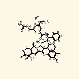 CC[C@@]1(O)C(=O)OCc2c1cc1n(c2=O)Cc2c-1nc1cc(F)c(C)c3c1c2[C@@H](N(C(=O)O)C(NC(=O)[C@H](CCCNC(N)=O)NC(=O)[C@@H](N)C(C)C)c1ccccc1)CC3